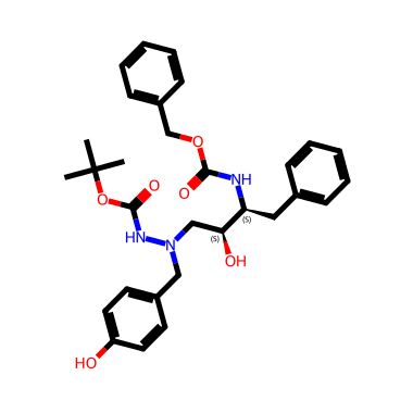 CC(C)(C)OC(=O)NN(Cc1ccc(O)cc1)C[C@H](O)[C@H](Cc1ccccc1)NC(=O)OCc1ccccc1